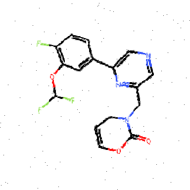 O=C1OC=CCN1Cc1cncc(-c2ccc(F)c(OC(F)F)c2)n1